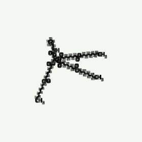 CCCCCCCCCOC(=O)CCCCCCC(=O)OCC(COC(=O)CCCCCCC(=O)OCCCCCCCCC)(COC(=O)CCCCCCC(=O)OCCCCCCCCC)COC(=O)NCCN1CCCC1